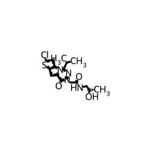 CC(C)c1nn(CC(=O)NC[C@@H](C)O)c(=O)c2cc3sc(Cl)cc3n12